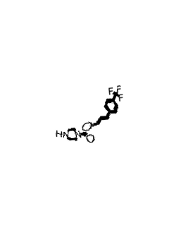 O=C(OCC=Cc1ccc(C(F)(F)F)cc1)N1CCNCC1